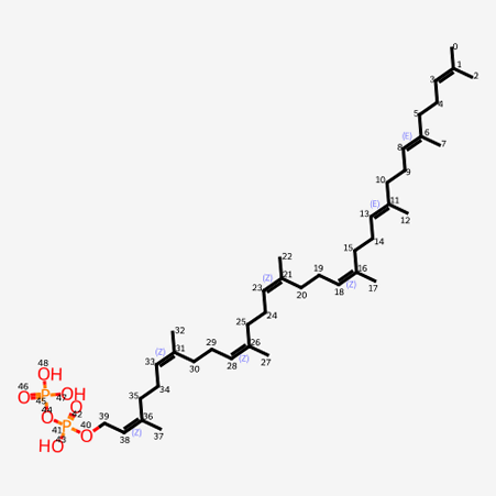 CC(C)=CCC/C(C)=C/CC/C(C)=C/CC/C(C)=C\CC/C(C)=C\CC/C(C)=C\CC/C(C)=C\CC/C(C)=C\COP(=O)(O)OP(=O)(O)O